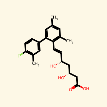 Cc1cc(C)c(C=C[C@@H](O)C[C@@H](O)CC(=O)O)c(-c2ccc(F)c(C)c2)c1